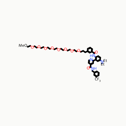 CCN(CC)c1ccc(NC(=O)c2cccc(CCCOCCOCCOCCOCCOCCOCCOCCOCCOC)c2)c(-c2cc(C(=O)NCc3cccc(C(F)(F)F)c3)ccn2)c1